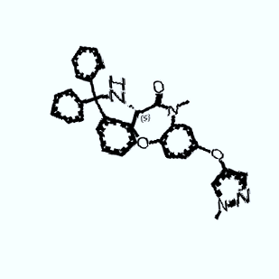 CN1C(=O)[C@@H](NC(c2ccccc2)(c2ccccc2)c2ccccc2)COc2ccc(Oc3cnn(C)c3)cc21